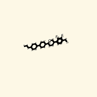 CCCC1CCC(C2CCC(C3CCC(c4ccc(CC)c(F)c4F)CO3)CC2)CC1